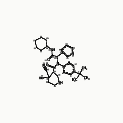 CC(C)(C)c1ccc(N(C(=O)C2CNCCC2(O)C#N)C(C(=O)NC2CCCCC2)c2cccnc2)cc1